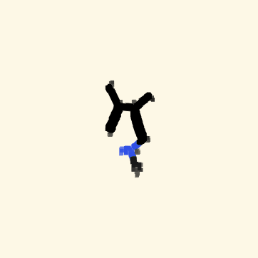 C=C(C)/C(C)=C\NCC